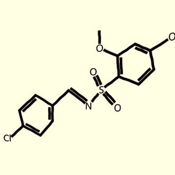 COc1cc(O)ccc1S(=O)(=O)N=Cc1ccc(Cl)cc1